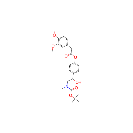 COc1ccc(CC(=O)Oc2ccc(C(O)CN(C)C(=O)OC(C)(C)C)cc2)cc1OC